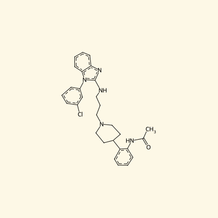 CC(=O)Nc1ccccc1C1CCN(CCCNc2nc3ccccc3n2-c2cccc(Cl)c2)CC1